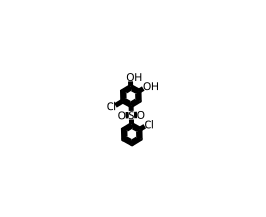 O=S(=O)(c1ccccc1Cl)c1cc(O)c(O)cc1Cl